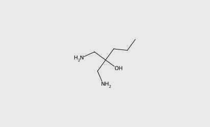 CCCC(O)(CN)CN